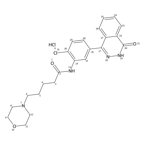 Cl.O=C(CCCCN1CCOCC1)Nc1cc(-c2n[nH]c(=O)c3ccccc23)ccc1Cl